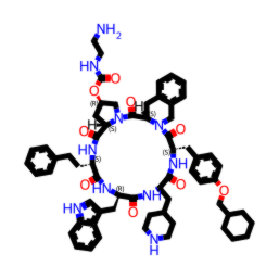 NCCNC(=O)O[C@@H]1C[C@H]2C(=O)N[C@@H](CCc3ccccc3)C(=O)N[C@H](Cc3c[nH]c4ccccc34)C(=O)NC(CC3CCNCC3)C(=O)N[C@@H](Cc3ccc(OCC4CCCCC4)cc3)C(=O)N3Cc4ccccc4C[C@H]3C(=O)N2C1